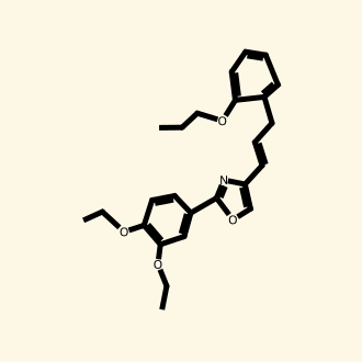 CCCOc1ccccc1C/C=C/c1coc(-c2ccc(OCC)c(OCC)c2)n1